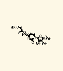 CC(C)COCC(=O)ONc1ccn([C@@H]2O[C@H](CO)[C@@H](O)[C@H]2O)c(=O)n1